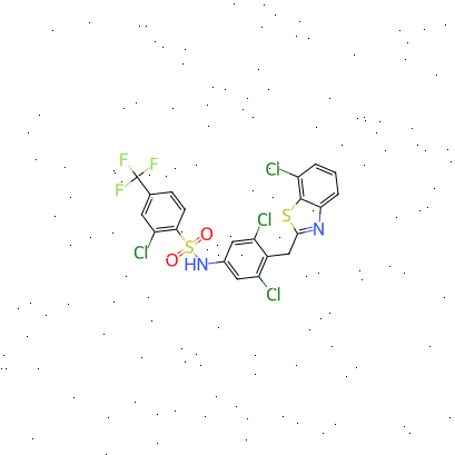 O=S(=O)(Nc1cc(Cl)c(Cc2nc3cccc(Cl)c3s2)c(Cl)c1)c1ccc(C(F)(F)F)cc1Cl